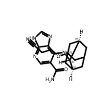 N#CCCO[C@]12CC3C[C@H](C1)[C@@H](Nc1c(C(N)=O)cnc4[nH]cnc14)[C@@H](C3)C2